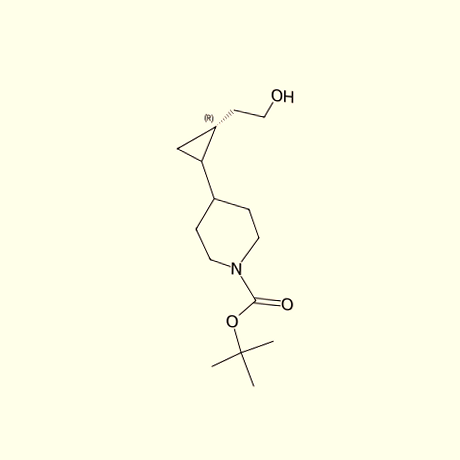 CC(C)(C)OC(=O)N1CCC(C2C[C@@H]2CCO)CC1